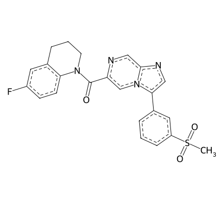 CS(=O)(=O)c1cccc(-c2cnc3cnc(C(=O)N4CCCc5cc(F)ccc54)cn23)c1